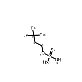 OP(=S)(S)OCCC(F)(F)F